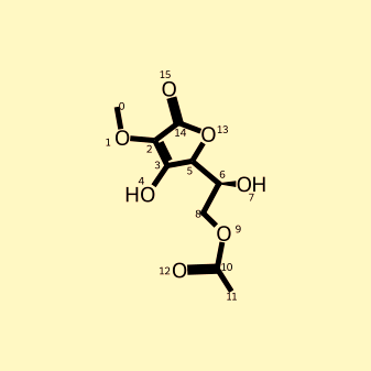 COC1=C(O)C([C@@H](O)COC(C)=O)OC1=O